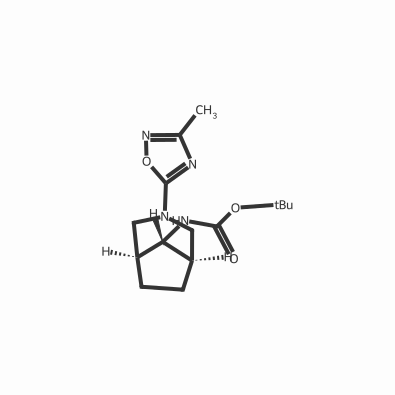 Cc1noc(N2C[C@H]3CC[C@@H](C2)[C@@H]3NC(=O)OC(C)(C)C)n1